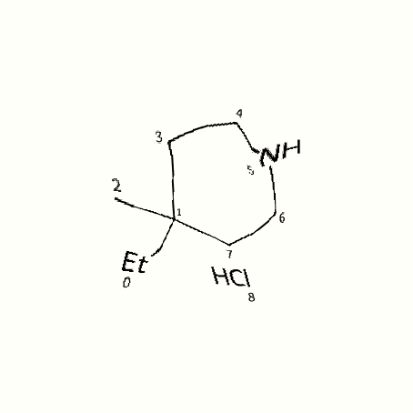 CCC1(C)CCNCC1.Cl